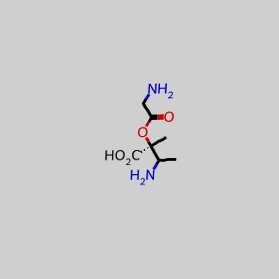 CC(N)[C@](C)(OC(=O)CN)C(=O)O